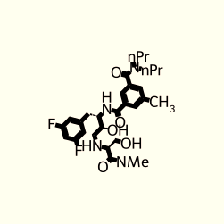 CCCN(CCC)C(=O)c1cc(C)cc(C(=O)N[C@@H](Cc2cc(F)cc(F)c2)[C@H](O)CN[C@@H](CO)C(=O)NC)c1